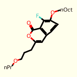 CCCCCCCCOc1ccc2cc(CCCOCCC)oc(=O)c2c1F